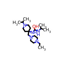 CCN1CCN(CC2(NC(O)NC(C)C)CCN(C(C)C)CC2)CC1